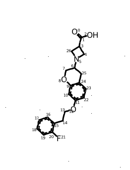 O=C(O)C1CN(C2COc3cc(OCCc4ccccc4F)ccc3C2)C1